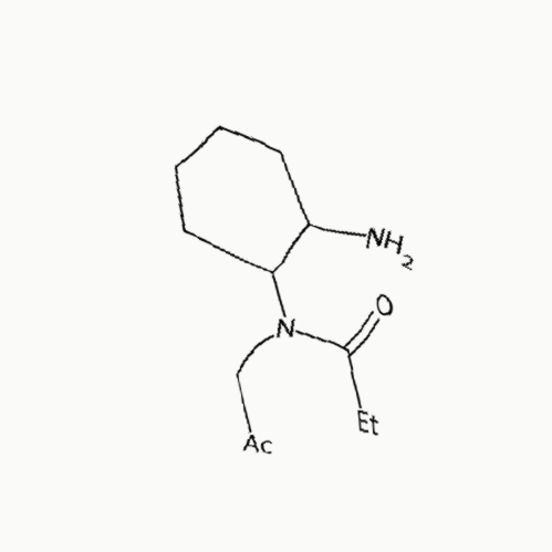 CCC(=O)N(CC(C)=O)C1CCCCC1N